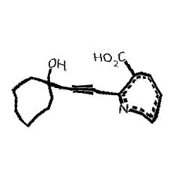 O=C(O)c1cccnc1C#CC1(O)CCCCC1